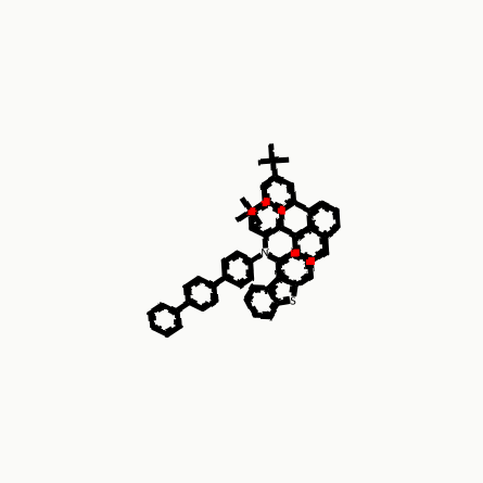 CC(C)(C)c1cc(-c2cccc3cccc(-c4ccccc4N(c4ccc(-c5ccc(-c6ccccc6)cc5)cc4)c4cccc5sc6ccccc6c45)c23)cc(C(C)(C)C)c1